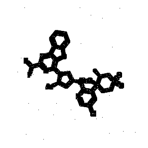 CO[C@]1(c2cc(Cl)cnc2O[C@H]2C[C@@H](C(C)=O)N(c3nc(C(F)F)nc4c3oc3ccccc34)C2)CCS(=O)(=O)C[C@@H]1C